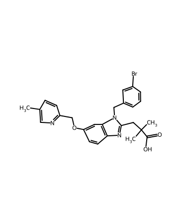 Cc1ccc(COc2ccc3nc(CC(C)(C)C(=O)O)n(Cc4cccc(Br)c4)c3c2)nc1